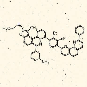 C=C/C=C\c1oc2ccc3c(C4=CC=CC(C)C4)nc4c(-c5ccc(-c6ccc7ccc8ccc(-c9ccccc9)nc8c7n6)c(CCC)c5CC)cccc4c3c2c1C